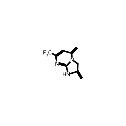 C=C1CN2C(=C)C=C(C(F)(F)F)N=C2N1